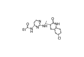 CCC(=O)Nc1ccnc(NC(C)c2cc3cc(Cl)ccc3[nH]c2=O)n1